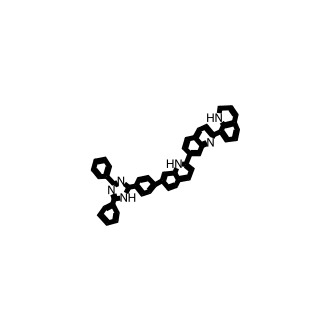 C1=Cc2cccc(-c3ccc4ccc(C5=CC=C6C=CC(c7ccc(C8N=C(c9ccccc9)N=C(c9ccccc9)N8)cc7)=CC6N5)cc4n3)c2NC1